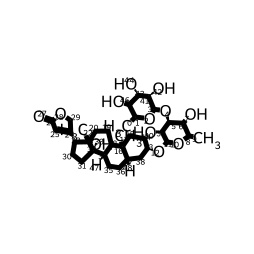 CC1OC(O[C@H]2C(O)C(C)OC(O[C@H]3CCC4(C)C5CCC6(C)[C@@H](C7=CC(=O)OC7)CC[C@]6(O)[C@@H]5CC[C@H]4C3)[C@H]2O)[C@@H](O)[C@@H](O)C1O